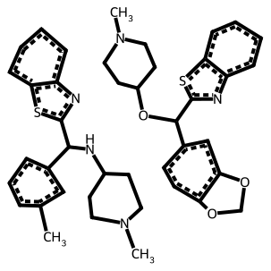 CN1CCC(OC(c2ccc3c(c2)OCO3)c2nc3ccccc3s2)CC1.Cc1cccc(C(NC2CCN(C)CC2)c2nc3ccccc3s2)c1